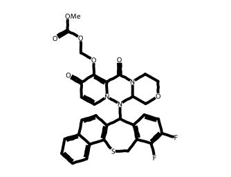 COC(=O)OCOc1c2n(ccc1=O)N(C1c3ccc(F)c(F)c3CSc3c1ccc1ccccc31)C1COCCN1C2=O